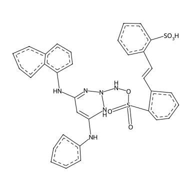 O=S(=O)(O)c1ccccc1C=Cc1ccccc1S(=O)(=O)ONN1N=C(Nc2cccc3ccccc23)C=C(Nc2ccccc2)N1